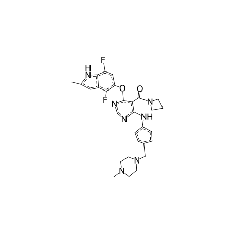 Cc1cc2c(F)c(Oc3ncnc(Nc4ccc(CN5CCN(C)CC5)cc4)c3C(=O)N3CCC3)cc(F)c2[nH]1